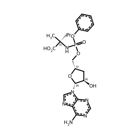 CC(C)[C@](C)(NP(=O)(OC[C@@H]1C[C@@H](O)[C@H](n2cnc3c(N)ncnc32)O1)Oc1ccccc1)C(=O)O